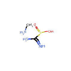 CN.N=C(N)S(=O)O